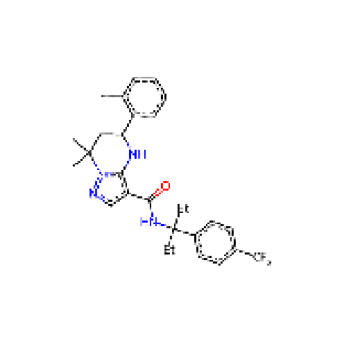 CCC(CC)(NC(=O)c1cnn2c1NC(c1ccccc1C)CC2(C)C)c1ccc(C(F)(F)F)cc1